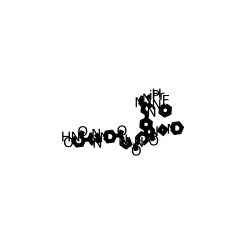 CC(C)n1cnc2cc(-c3ccc4c(c3)N([C@H]3C[C@@H](N5CCCCC5)C3)C(=O)C43CCN(C(=O)[C@@H]4CCN(C(=O)C5CCN(c6ncc(C7CCC(=O)NC7=O)cn6)CC5)C4)CC3)nc(Nc3ccccc3F)c21